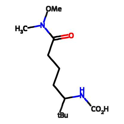 CON(C)C(=O)CCCC(NC(=O)O)C(C)(C)C